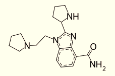 NC(=O)c1cccc2c1nc(C1CCCN1)n2CCN1CCCC1